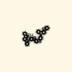 CC1(C)c2ccccc2-c2ccc3c4ccccc4n(-c4ccc5oc6c(ccc7oc8ccc(-n9c%10ccccc%10c%10c%11oc%12ccccc%12c%11ccc%109)cc8c76)c5c4)c3c21